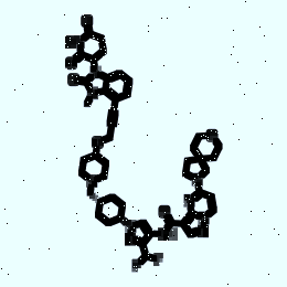 Cn1c(=O)n(C2CCC(=O)NC2=O)c2cccc(C#CCOC3CCN(C[C@H]4CC[C@H](n5cc(NC(=O)c6cnn7ccc(N8CCC9(CCOCC9)C8)nc67)c(C(F)F)n5)CC4)CC3)c21